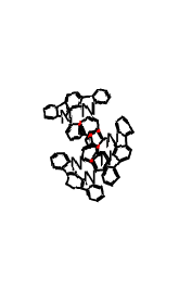 C1=CC2c3ccc4c5ccccc5n(-c5ccc(-c6cc(-n7c8c(c9ccccc97)CCc7c-8n(-c8ccccc8)c8ccccc78)cc(-n7c8ccccc8c8ccc9c%10ccccc%10n(-c%10ccccc%10)c9c87)c6)cc5)c4c3N(c3ccccc3)C2C=C1